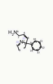 C/C=N\C(C)(/C=C\CN)c1ccccc1